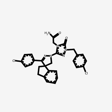 NC(=O)Cn1c(N2CC3(CCc4ccccc43)C(c3ccc(Cl)cc3)=N2)nn(Cc2ccc(Cl)cc2)c1=O